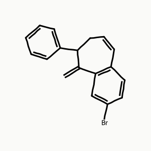 C=C1c2cc(Br)ccc2C=CCC1c1ccccc1